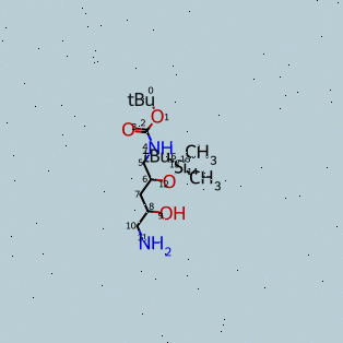 CC(C)(C)OC(=O)NCC(CC(O)CN)O[Si](C)(C)C(C)(C)C